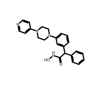 O=C(NO)C(c1ccccc1)c1cccc(N2CCN(c3ccncc3)CC2)c1